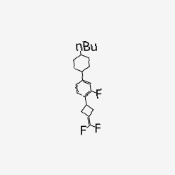 CCCCC1CCC(c2ccc(C3CC(=C(F)F)C3)c(F)c2)CC1